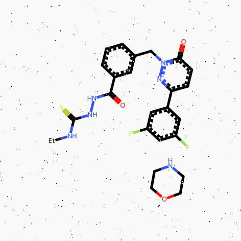 C1COCCN1.CCNC(=S)NNC(=O)c1cccc(Cn2nc(-c3cc(F)cc(F)c3)ccc2=O)c1